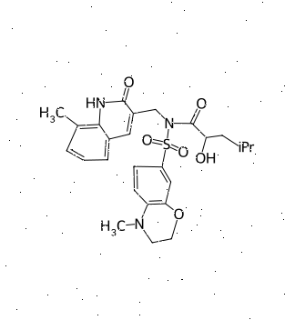 Cc1cccc2cc(CN(C(=O)C(O)CC(C)C)S(=O)(=O)c3ccc4c(c3)OCCN4C)c(=O)[nH]c12